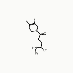 CCC(CCC(=O)N1CCC(C)=C(C)C1)NC(C)C